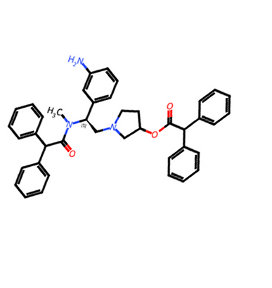 CN(C(=O)C(c1ccccc1)c1ccccc1)[C@H](CN1CCC(OC(=O)C(c2ccccc2)c2ccccc2)C1)c1cccc(N)c1